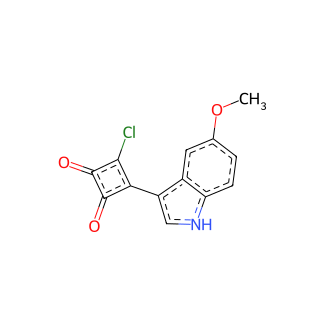 COc1ccc2[nH]cc(-c3c(Cl)c(=O)c3=O)c2c1